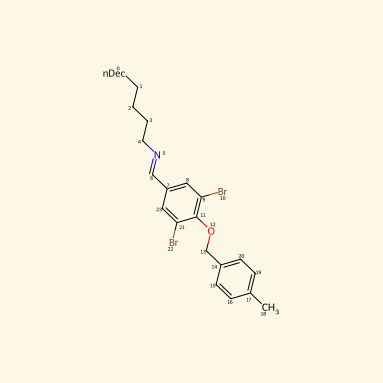 CCCCCCCCCCCCCCN=Cc1cc(Br)c(OCc2ccc(C)cc2)c(Br)c1